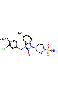 COc1ccc(Cn2c(=O)n(C3CCN(S(N)(=O)=O)CC3)c3ccc(C#N)cc32)cc1Cl